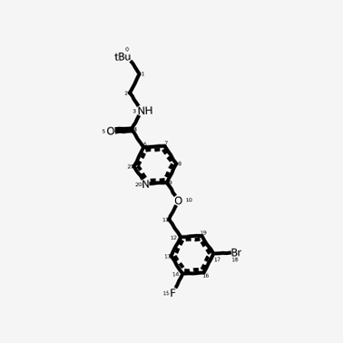 CC(C)(C)CCNC(=O)c1ccc(OCc2cc(F)cc(Br)c2)nc1